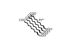 CCCCCCCCC=CCCCCCCCC(=O)[O-].CCCCCCCCC=CCCCCCCCC(=O)[O-].CCCCCCCCC=CCCCCCCCC(=O)[O-].CCCCCCCCC=CCCCCCCCC(=O)[O-].[Pt+4]